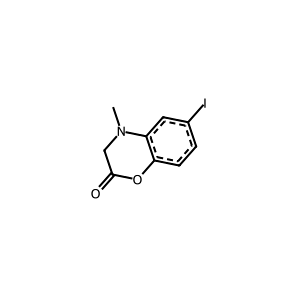 CN1CC(=O)Oc2ccc(I)cc21